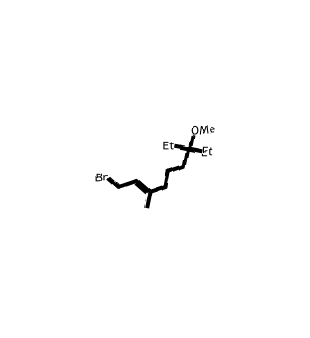 CCC(CC)(CCCC(C)=CCBr)OC